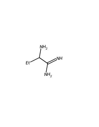 CCC(N)C(=N)N